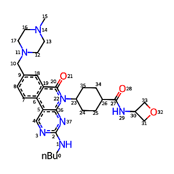 CCCCNc1ncc2c3ccc(CN4CCN(C)CC4)cc3c(=O)n(C3CCC(C(=O)NC4COC4)CC3)c2n1